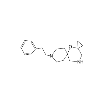 c1ccc(CCN2CCC3(CC2)CNCC2(CC2)O3)cc1